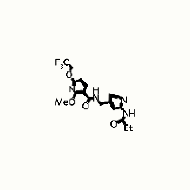 CCC(=O)Nc1cc(CNC(=O)c2ccc(OCC(F)(F)F)nc2OC)ccn1